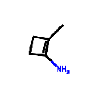 CC1=C(N)CC1